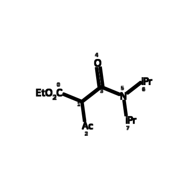 CCOC(=O)C(C(C)=O)C(=O)N(C(C)C)C(C)C